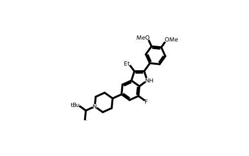 [CH2]C(N1CCC(c2cc(F)c3[nH]c(-c4ccc(OC)c(OC)c4)c(CC)c3c2)CC1)C(C)(C)C